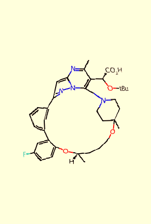 Cc1nc2cc3nn2c(c1[C@H](OC(C)(C)C)C(=O)O)N1CCC(C)(CC1)OCCC[C@H](C)Oc1ccc(F)cc1-c1cccc-3c1